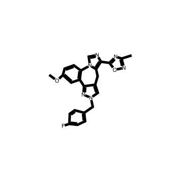 COc1ccc2c(c1)-c1nn(Cc3ccc(F)cc3)cc1Cc1c(-c3nc(C)no3)ncn1-2